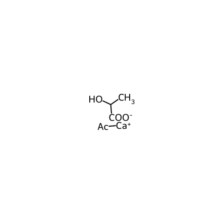 CC(O)C(=O)[O-].C[C](=O)[Ca+]